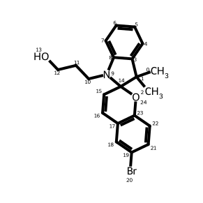 CC1(C)c2ccccc2N(CCCO)C12C=Cc1cc(Br)ccc1O2